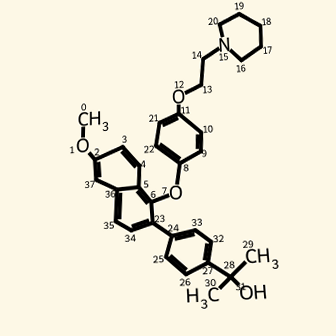 COc1ccc2c(Oc3ccc(OCCN4CCCCC4)cc3)c(-c3ccc(C(C)(C)O)cc3)ccc2c1